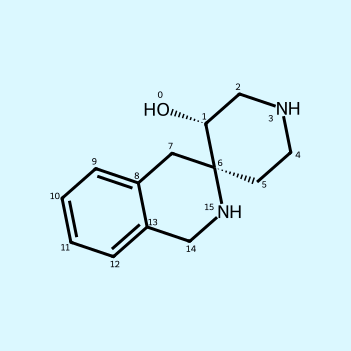 O[C@@H]1CNCC[C@]12Cc1ccccc1CN2